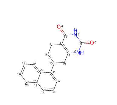 O=c1[nH]c2c(c(=O)[nH]1)CCC(c1cccc3ccccc13)C2